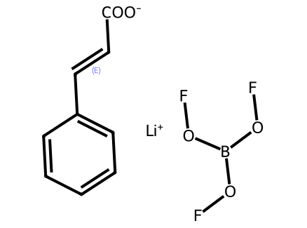 FOB(OF)OF.O=C([O-])/C=C/c1ccccc1.[Li+]